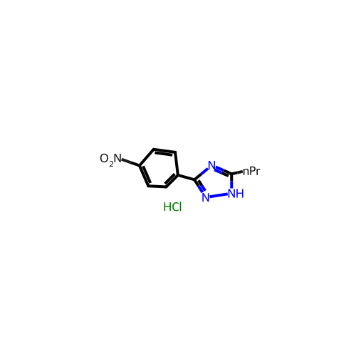 CCCc1nc(-c2ccc([N+](=O)[O-])cc2)n[nH]1.Cl